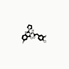 O=C(Cc1ccc(Cl)c(F)c1)Nn1c(N2CCCC2)nc2ccc(F)cc2c1=O